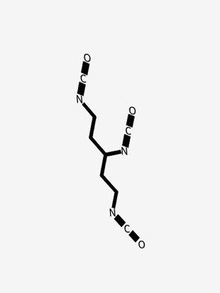 O=C=NCCC(CCN=C=O)N=C=O